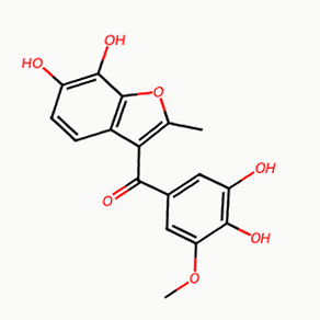 COc1cc(C(=O)c2c(C)oc3c(O)c(O)ccc23)cc(O)c1O